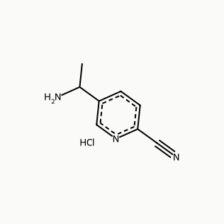 CC(N)c1ccc(C#N)nc1.Cl